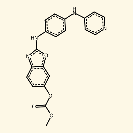 COC(=O)Oc1ccc2nc(Nc3ccc(Nc4ccncc4)cc3)oc2c1